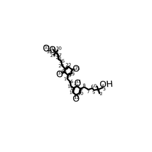 CC(C)(CO)CCCCC1=CC(=O)C=C(CCCC2=CC(=O)C=C(CCCCC(C)(C)OC=O)C2=O)C1=O